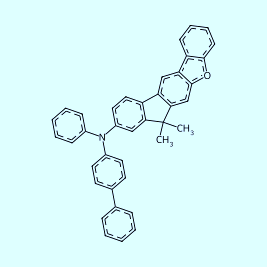 CC1(C)c2cc(N(c3ccccc3)c3ccc(-c4ccccc4)cc3)ccc2-c2cc3c(cc21)oc1ccccc13